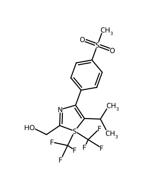 CC(C)C1=C(c2ccc(S(C)(=O)=O)cc2)N=C(CO)S1(C(F)(F)F)C(F)(F)F